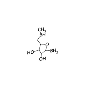 BC1OC(CBC)C(O)C1O